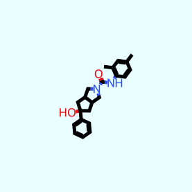 Cc1ccc(NC(=O)N2CC3CC(O)(c4ccccc4)CC3C2)c(C)c1